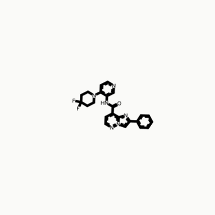 O=C(Nc1cnccc1N1CCC(F)(F)CC1)c1ccnn2cc(-c3ccccc3)nc12